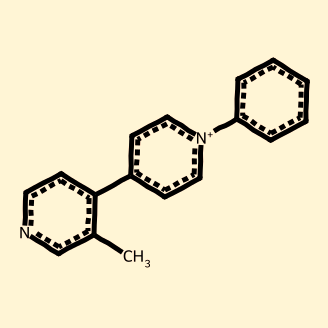 Cc1cnccc1-c1cc[n+](-c2ccccc2)cc1